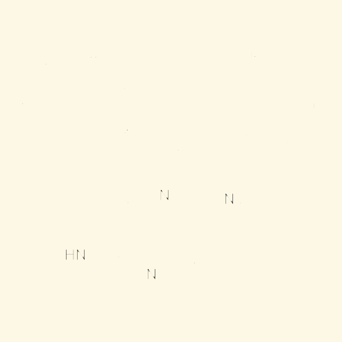 c1[nH]c2ncc3nc(C4CCCCC4)cn3c2c1C1CCCCCC1